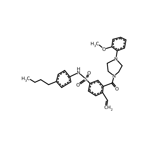 C=Cc1ccc(S(=O)(=O)Nc2ccc(CCCC)cc2)cc1C(=O)N1CCN(c2ccccc2OC)CC1